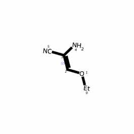 CCO/C=C(\N)C#N